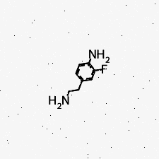 NCCc1ccc(N)c(F)c1